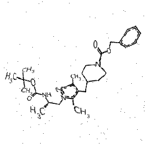 Cc1nn(C[C@@H](C)NC(=O)OC(C)(C)C)c(C)c1CC1CCN(C(=O)OCc2ccccc2)CC1